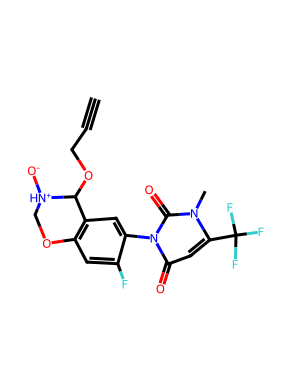 C#CCOC1c2cc(-n3c(=O)cc(C(F)(F)F)n(C)c3=O)c(F)cc2OC[NH+]1[O-]